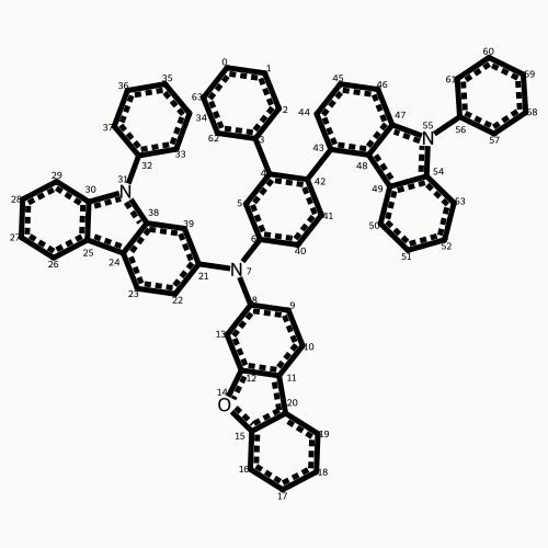 c1ccc(-c2cc(N(c3ccc4c(c3)oc3ccccc34)c3ccc4c5ccccc5n(-c5ccccc5)c4c3)ccc2-c2cccc3c2c2ccccc2n3-c2ccccc2)cc1